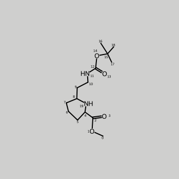 COC(=O)C1CCCC(CCNC(=O)OC(C)(C)C)N1